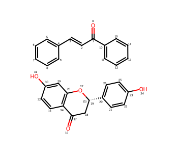 O=C(C=Cc1ccccc1)c1ccccc1.O=C1C[C@@H](c2ccc(O)cc2)Oc2cc(O)ccc21